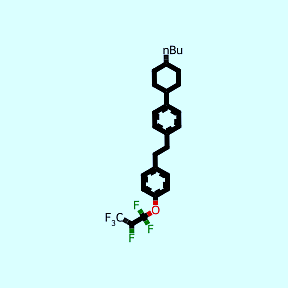 CCCCC1CCC(c2ccc(CCc3ccc(OC(F)(F)C(F)C(F)(F)F)cc3)cc2)CC1